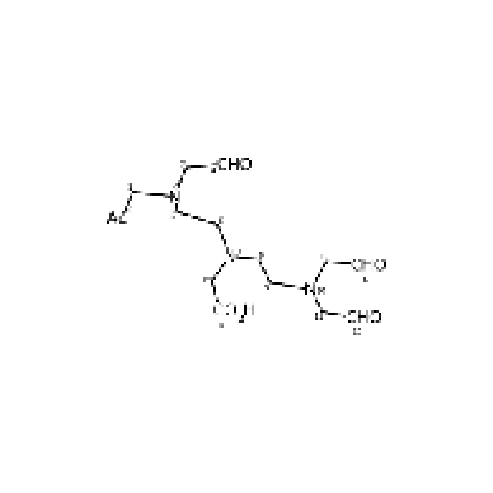 CC(=O)CN(CC=O)CCN(CCN(CC=O)CC=O)CC(=O)O